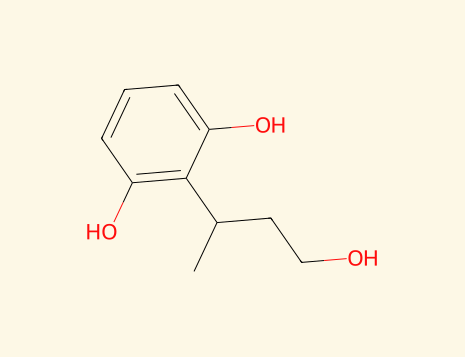 CC(CCO)c1c(O)cccc1O